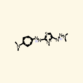 CN(C)/N=N/c1csc(/N=N/c2ccc(N(C)C)cc2)[n+]1C